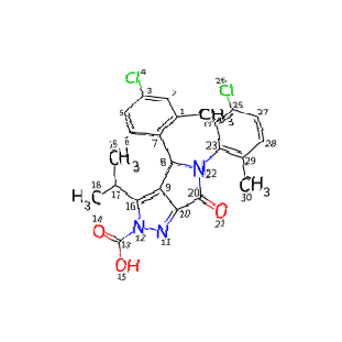 Cc1cc(Cl)ccc1C1c2c(nn(C(=O)O)c2C(C)C)C(=O)N1c1cc(Cl)ccc1C